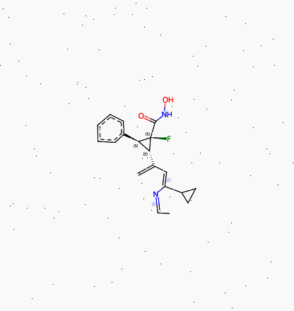 C=C(/C=C(\N=C/C)C1CC1)[C@@H]1[C@@H](c2ccccc2)[C@]1(F)C(=O)NO